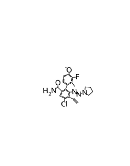 C#Cc1c(Cl)cc(C(N)=O)c(-c2ccc(OC)c(F)c2C)c1N=NN1CCCC1